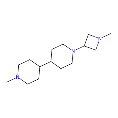 CN1CCC(C2CCN(C3CN(C)C3)CC2)CC1